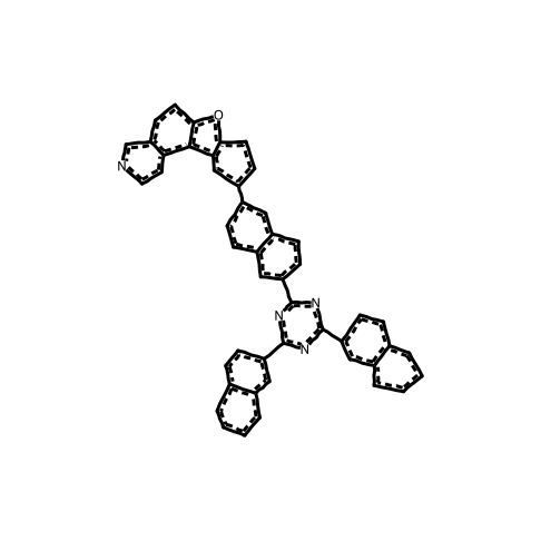 c1ccc2cc(-c3nc(-c4ccc5ccccc5c4)nc(-c4ccc5cc(-c6ccc7oc8ccc9cnccc9c8c7c6)ccc5c4)n3)ccc2c1